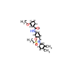 CCS(=O)(=O)N(Cc1ccc(NC(=O)c2cccc(OC)c2)cc1)c1ccc(C)c(C)c1